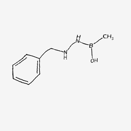 CB(O)NNCc1ccccc1